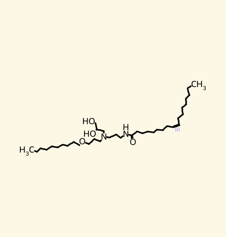 CCCCCCCC/C=C\CCCCCCCC(=O)NCCCN(CCCOCCCCCCCCCC)CC(O)CO